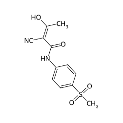 C/C(O)=C(/C#N)C(=O)Nc1ccc(S(C)(=O)=O)cc1